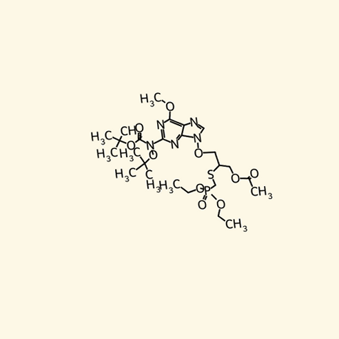 CCOP(=O)(CSC(COC(C)=O)COn1cnc2c(OC)nc(N(OC(C)(C)C)C(=O)OC(C)(C)C)nc21)OCC